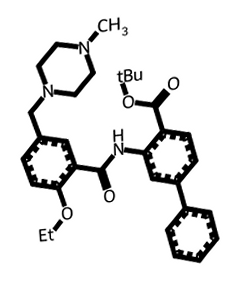 CCOc1ccc(CN2CCN(C)CC2)cc1C(=O)Nc1cc(-c2ccccc2)ccc1C(=O)OC(C)(C)C